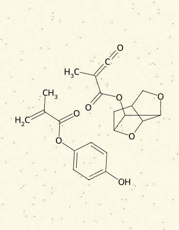 C=C(C)C(=O)Oc1ccc(O)cc1.CC(=C=O)C(=O)OC1C2CC3COC1C3O2